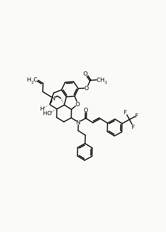 C=CCN1CC[C@]23c4c5ccc(OC(C)=O)c4OC2C(N(CCc2ccccc2)C(=O)/C=C/c2cccc(C(F)(F)F)c2)CC[C@@]3(O)[C@H]1C5